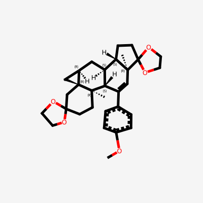 COc1ccc(C2=C[C@@]3(C)[C@@H](CCC34OCCO4)[C@@H]3C[C@@H]4C[C@@]45CC4(CC[C@]5(C)[C@@H]23)OCCO4)cc1